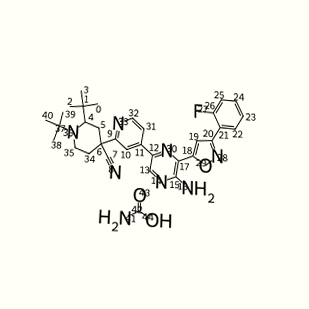 CC(C)(C)C1CC(C#N)(c2cc(-c3cnc(N)c(-c4cc(-c5ccccc5F)no4)n3)ccn2)CCN1C(C)(C)C.NC(=O)O